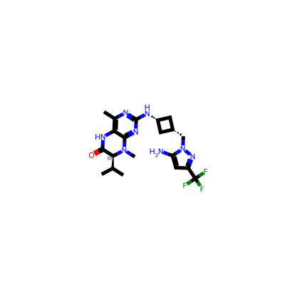 Cc1nc(N[C@H]2C[C@@H](Cn3nc(C(F)(F)F)cc3N)C2)nc2c1NC(=O)[C@H](C(C)C)N2C